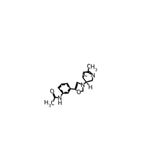 CC(=O)Nc1cccc(C2=CN([C@H]3CN4CCC3CC4C)CO2)c1